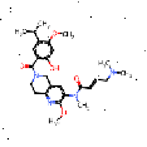 COc1cc(O)c(C(=O)N2CCc3nc(OC)c(N(C)C(=O)/C=C/CN(C)C)cc3C2)cc1C(C)C